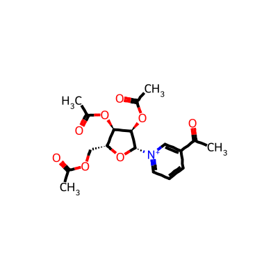 CC(=O)OC[C@H]1O[C@@H]([n+]2cccc(C(C)=O)c2)[C@H](OC(C)=O)[C@@H]1OC(C)=O